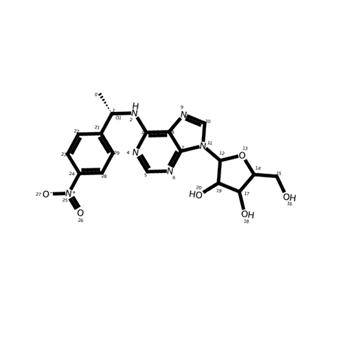 C[C@H](Nc1ncnc2c1ncn2C1OC(CO)C(O)C1O)c1ccc([N+](=O)[O-])cc1